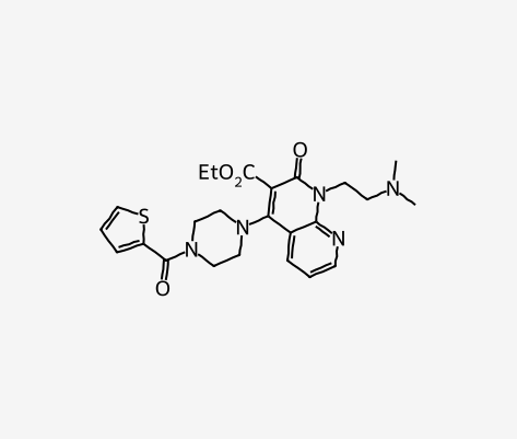 CCOC(=O)c1c(N2CCN(C(=O)c3cccs3)CC2)c2cccnc2n(CCN(C)C)c1=O